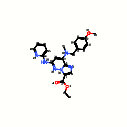 CCOC(=O)c1cnc2c(N(C)Cc3ccc(OC)cc3)cc(Nc3ccccn3)nn12